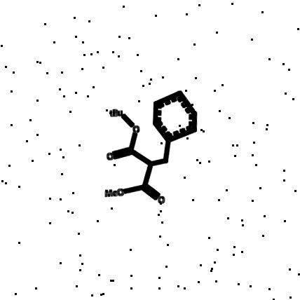 COC(=O)C(Cc1ccccc1)C(=O)OC(C)(C)C